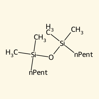 CCCCC[Si](C)(C)O[Si](C)(C)CCCCC